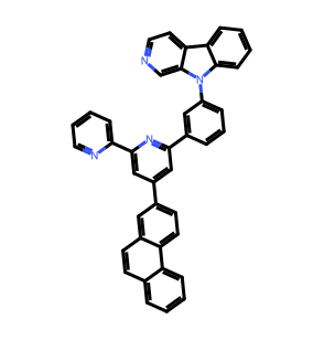 c1ccc(-c2cc(-c3ccc4c(ccc5ccccc54)c3)cc(-c3cccc(-n4c5ccccc5c5ccncc54)c3)n2)nc1